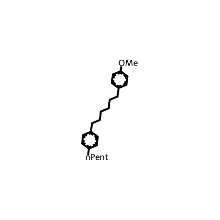 CCCCCc1ccc(CCCCCCc2ccc(OC)cc2)cc1